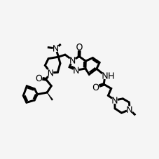 C[C@H](CC(=O)N1CCC(Cn2cnc3cc(NC(=O)CCN4CCN(C)CC4)ccc3c2=O)(N(C)C)CC1)c1ccccc1